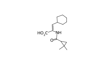 CC1(C)CC1C(=O)N/C(=C\C1CCCCC1)C(=O)O